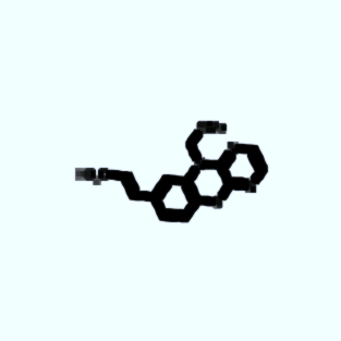 COCN1c2cc(C=CC(=O)O)ccc2Sc2nccnc21